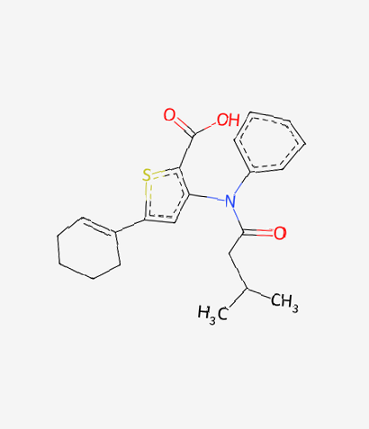 CC(C)CC(=O)N(c1ccccc1)c1cc(C2=CCCCC2)sc1C(=O)O